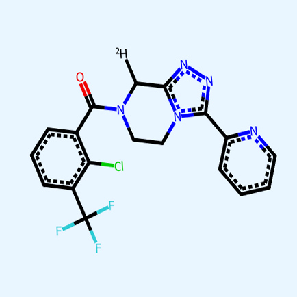 [2H]C1c2nnc(-c3ccccn3)n2CCN1C(=O)c1cccc(C(F)(F)F)c1Cl